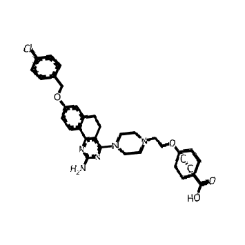 Nc1nc2c(c(N3CCN(CCOC45CCC(C(=O)O)(CC4)CC5)CC3)n1)CCc1cc(OCc3ccc(Cl)cc3)ccc1-2